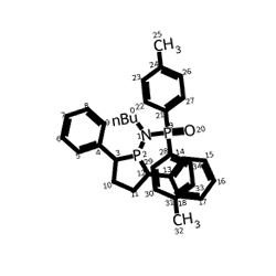 CCCCN(P1C(c2ccccc2)CCC1c1ccccc1)P(=O)(c1ccc(C)cc1)c1ccc(C)cc1